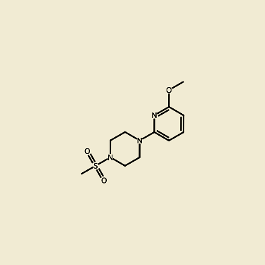 COc1cccc(N2CCN(S(C)(=O)=O)CC2)n1